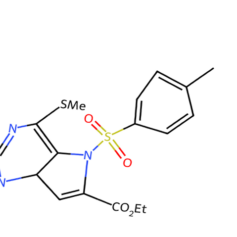 CCOC(=O)C1=CC2C(=C(SC)N=CN2C)N1S(=O)(=O)c1ccc(C)cc1